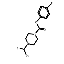 CCC(CC)N1CCN(C(=O)Oc2ccc(F)cc2)CC1